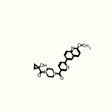 COc1ccc2cc(-c3ccc(C(=O)N4CCN(C(=O)C5(O)CC5)CC4)cn3)ccc2n1